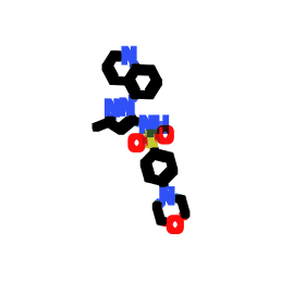 Cc1cc(NS(=O)(=O)c2ccc(N3CCOCC3)cc2)n(-c2cccc3ncccc23)n1